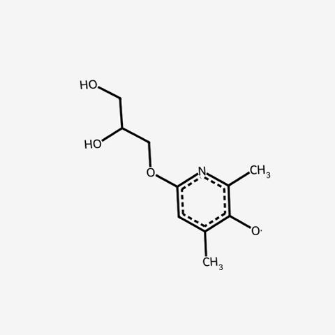 Cc1cc(OCC(O)CO)nc(C)c1[O]